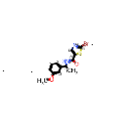 COc1cccc(C(C)NC(=O)c2cnc(Br)s2)c1